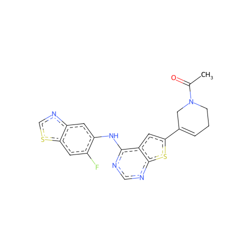 CC(=O)N1CCC=C(c2cc3c(Nc4cc5ncsc5cc4F)ncnc3s2)C1